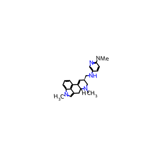 CNc1ccc(NC[C@@H]2C=C3c4cccc5c4c(cn5C)C[C@H]3N(C)C2)cn1